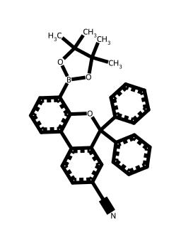 CC1(C)OB(c2cccc3c2OC(c2ccccc2)(c2ccccc2)c2cc(C#N)ccc2-3)OC1(C)C